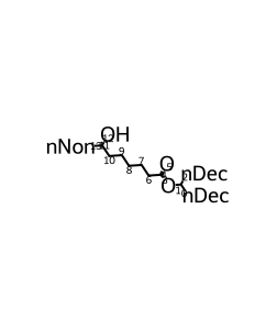 CCCCCCCCCCC(CCCCCCCCCC)OC(=O)CCCCCC(O)CCCCCCCCC